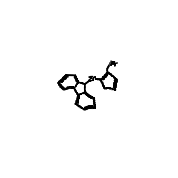 CC(C)C1=[C]([Zr][CH]2c3ccccc3-c3ccccc32)CC=C1